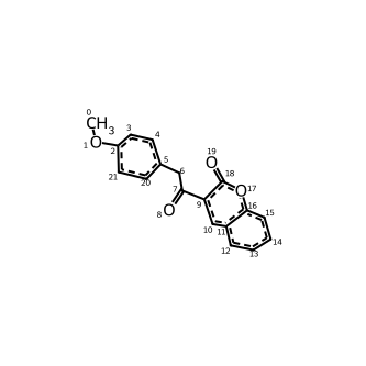 COc1ccc(CC(=O)c2cc3ccccc3oc2=O)cc1